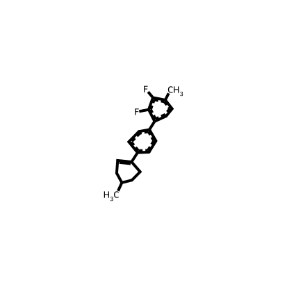 Cc1ccc(-c2ccc(C3=CCC(C)CC3)cc2)c(F)c1F